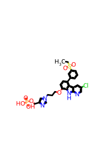 CCS(=O)(=O)c1cccc(-c2ccc(OCCCn3cnc(COP(=O)(O)O)c3)c3[nH]c4ncc(Cl)cc4c23)c1